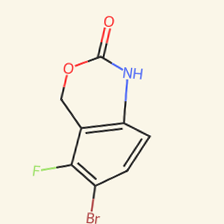 O=C1Nc2ccc(Br)c(F)c2CO1